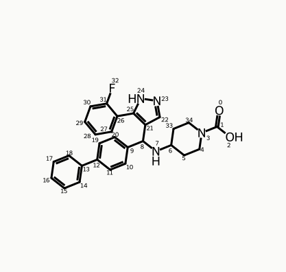 O=C(O)N1CCC(NC(c2ccc(-c3ccccc3)cc2)c2cn[nH]c2-c2ccccc2F)CC1